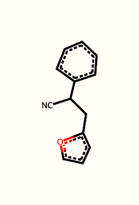 N#CC(Cc1ccco1)c1ccccc1